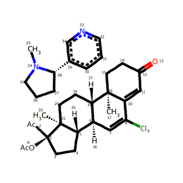 CC(=O)O[C@]1(C(C)=O)CC[C@H]2[C@@H]3C=C(Cl)C4=CC(=O)CC[C@]4(C)[C@H]3CC[C@@]21C.CN1CCC[C@H]1c1cccnc1